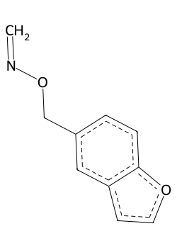 C=NOCc1ccc2occc2c1